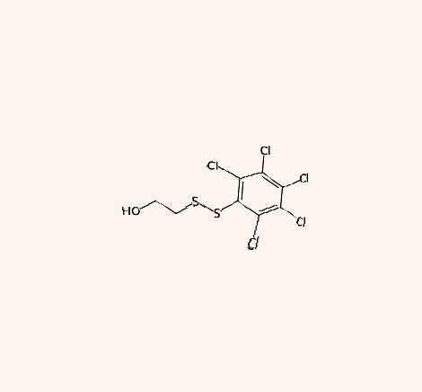 OCCSSc1c(Cl)c(Cl)c(Cl)c(Cl)c1Cl